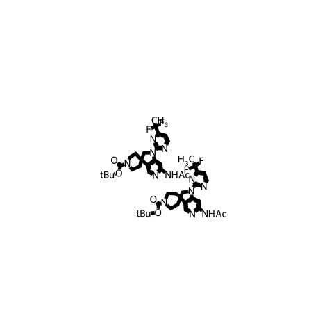 CC(=O)Nc1cc2c(cn1)C1(CCN(C(=O)OC(C)(C)C)CC1)CN2c1nccc(C(C)(F)F)n1.CC(=O)Nc1cc2c(cn1)C1(CCN(C(=O)OC(C)(C)C)CC1)CN2c1nccc(C(C)(F)F)n1